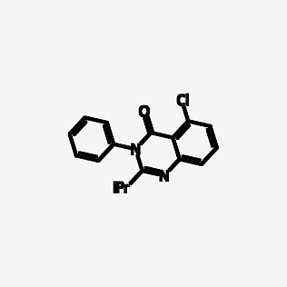 CC(C)c1nc2cccc(Cl)c2c(=O)n1-c1ccccc1